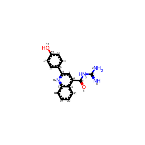 N=C(N)NC(=O)c1cc(-c2ccc(O)cc2)nc2ccccc12